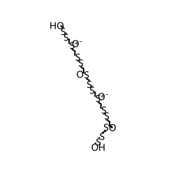 O=C(CCSCSCCC[S+]([O-])CCSCSCCSC(=O)CCSCSCCC[S+]([O-])CCSCSCO)SCCSCSCO